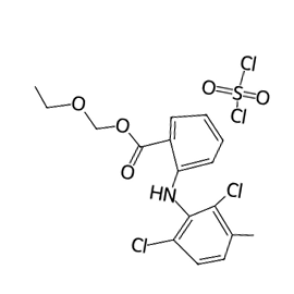 CCOCOC(=O)c1ccccc1Nc1c(Cl)ccc(C)c1Cl.O=S(=O)(Cl)Cl